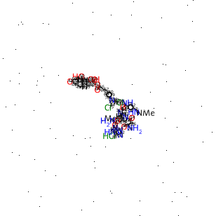 CNNCc1ccc(C(=O)NC(C)C)cc1.CO[C@@]12[C@H](COC(N)=O)C3=C(C(=O)C(C)=C(N)C3=O)N1C[C@H]1[C@@H]2N1C.C[C@]12C=CC(=O)C=C1CC[C@@H]1[C@@H]2[C@@H](O)C[C@@]2(C)[C@H]1CC[C@]2(O)C(=O)COC(=O)CCCc1ccc(N(CCCl)CCCl)cc1.Cl.c1ncc2[nH]cnc2n1